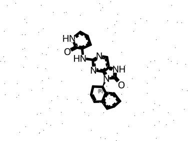 O=c1[nH]cccc1Nc1ncc2[nH]c(=O)n([C@@H]3CC=Cc4ccccc43)c2n1